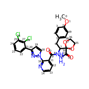 COc1ccc(CC(NC(=O)c2cccnc2-n2ccc(-c3cccc(Cl)c3Cl)n2)C2(C(N)=O)OCCO2)cc1